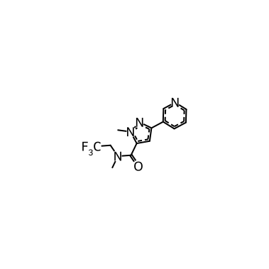 CN(CC(F)(F)F)C(=O)c1cc(-c2cccnc2)nn1C